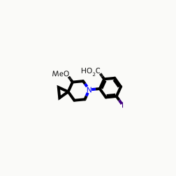 COC1CN(c2cc(I)ccc2C(=O)O)CCC12CC2